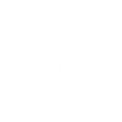 Cc1ccc(C=O)c(O)c1.Cc1ccc(O)c(C=O)c1